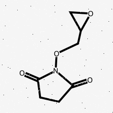 O=C1CCC(=O)N1OCC1CO1